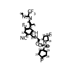 C=N/C(=N\C=C(/C)c1cc(CNC(=O)[C@@H]2C[C@@H](F)CN2S(=O)(=O)c2ccc(F)cc2)c(C#N)cc1F)C(F)(F)F